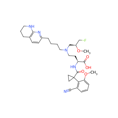 COc1cccc(C#N)c1C1(C(=O)N[C@@H](CCN(CCCCc2ccc3c(n2)NCCC3)C[C@@H](CF)OC)C(=O)O)CC1